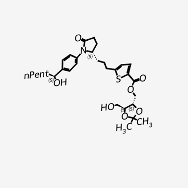 CCCCC[C@H](O)c1ccc(N2C(=O)CC[C@@H]2CCCc2ccc(C(=O)OC[C@@H]3OC(C)(C)O[C@H]3CO)s2)cc1